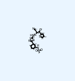 CS(=O)(=O)Nc1cccc(-c2nsc(N/N=C(\C#N)C(=O)c3cccs3)n2)c1